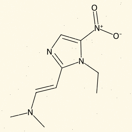 CCn1c([N+](=O)[O-])cnc1C=CN(C)C